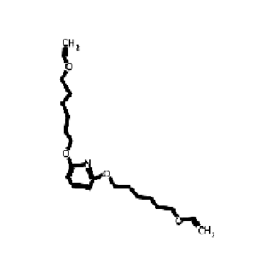 C=COCCCCCCOc1cccc(OCCCCCCOC=C)n1